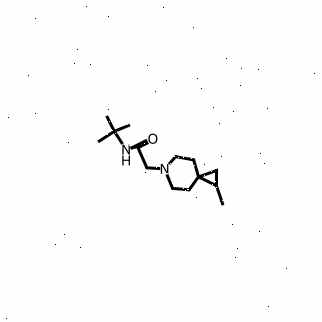 CC1CC12CCN(CC(=O)NC(C)(C)C)CC2